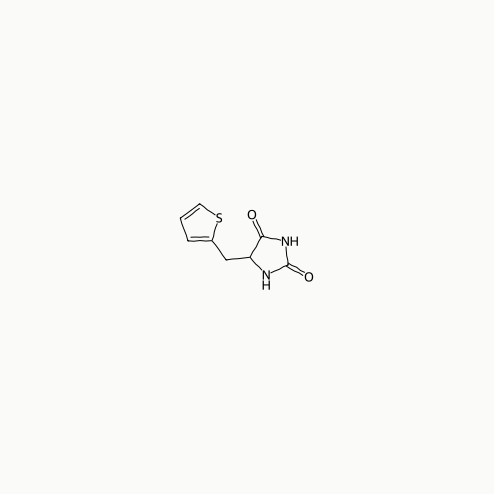 O=C1NC(=O)C(Cc2cccs2)N1